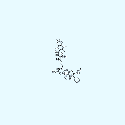 C=CCNC(=O)[C@H](NC(=O)[C@H](CC)NC(=O)[C@H](CCCNC(=N)NS(=O)(=O)c1c(C)c(C)c2c(c1C)CC(C)(C)O2)NC(=O)O)c1ccccc1